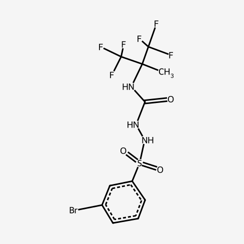 CC(NC(=O)NNS(=O)(=O)c1cccc(Br)c1)(C(F)(F)F)C(F)(F)F